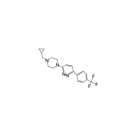 FC(F)(F)c1ccc(-c2ccc(N3CCN(CC4CC4)CC3)nn2)cc1